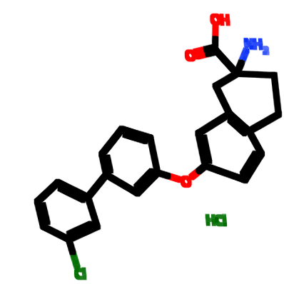 Cl.NC1(C(=O)O)CCc2ccc(Oc3cccc(-c4cccc(Cl)c4)c3)cc2C1